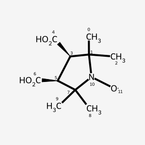 CC1(C)[C@H](C(=O)O)[C@H](C(=O)O)C(C)(C)N1[O]